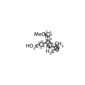 COc1cccc(Cn2cc(-c3ccc(C(=O)O)cc3)c3ncc(-c4c(C)noc4C)cc32)n1